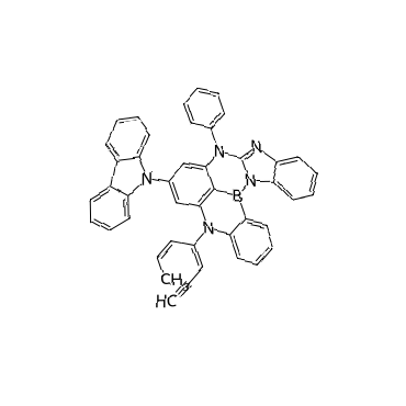 C#C/C=C(\C=C/C)N1c2ccccc2B2c3c1cc(-n1c4ccccc4c4ccccc41)cc3N(c1ccccc1)c1nc3ccccc3n12